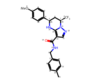 COc1ccc([C@H]2C[C@@H](C(F)(F)F)n3ncc(C(=O)NCc4ccc(C)cc4)c3N2)cc1